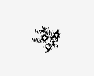 Cc1ccc2nc(C(=O)NCC(C)C)nc(N[C@H]3CCCC[C@H]3NC(=N)N)c2c1.Cl.Cl